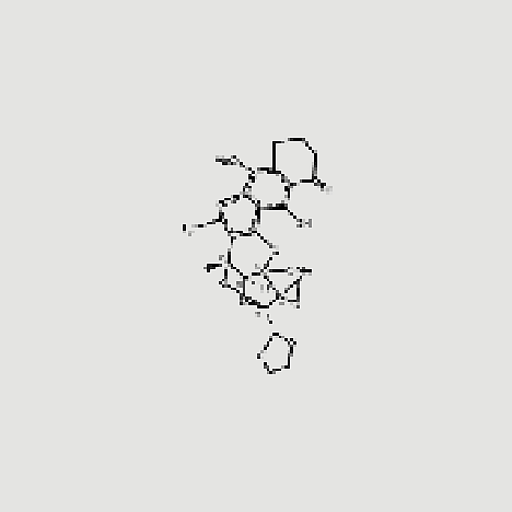 COc1c2c(c(O)c3c4c(c(C)cc13)[C@H]1O[C@]3(C5OCCO5)O[C@@H]1[C@](OC)(O4)[C@@]31CO1)C(=O)CCC2